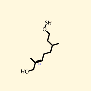 C/C(=C\CCC(C)CCOS)CO